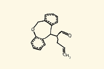 C=CCC(C=O)C1c2ccccc2COc2ccccc21